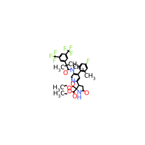 CCOC(=O)C1(C(=O)OCC)NC(=O)CC1c1cc(-c2ccc(F)cc2C)c(N(C)C(=O)C(C)(C)c2cc(C(F)(F)F)cc(C(F)(F)F)c2)cn1